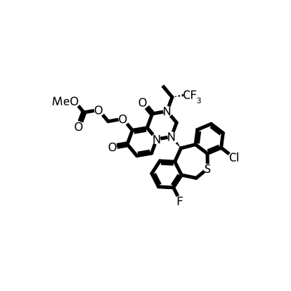 COC(=O)OCOc1c2n(ccc1=O)N([C@H]1c3cccc(F)c3CSc3c(Cl)cccc31)CN([C@H](C)C(F)(F)F)C2=O